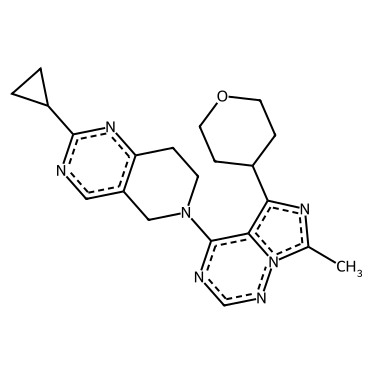 Cc1nc(C2CCOCC2)c2c(N3CCc4nc(C5CC5)ncc4C3)ncnn12